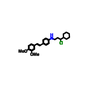 COc1ccc(C=Cc2ccc(NCCC(Cl)C3CCCCC3)cc2)cc1OC